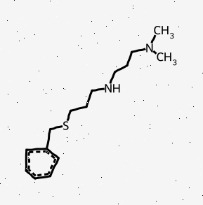 CN(C)CCCNCCCSCc1ccccc1